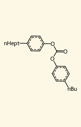 CCCCCCCc1ccc(OC(=O)Oc2ccc(CCCC)cc2)cc1